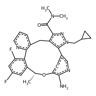 C[C@H]1Oc2cc(cnc2N)-c2c(c(C(=O)N(C)C)nn2CC2CC2)Cc2cccnc2-c2c(F)cc(F)cc21